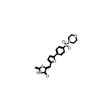 C=c1[nH]c(=O)/c(=C/c2ccc(-c3ccc(S(=O)(=O)N4CCOCC4)cc3)o2)s1